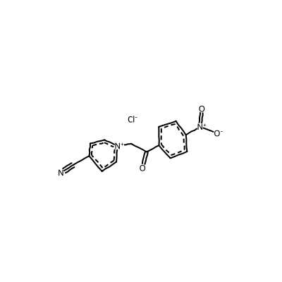 N#Cc1cc[n+](CC(=O)c2ccc([N+](=O)[O-])cc2)cc1.[Cl-]